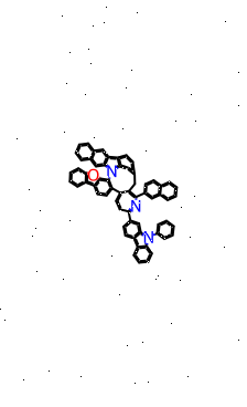 C1=CC(c2ccc3c4ccccc4n(-c4ccccc4)c3c2)=NC(c2ccc3ccccc3c2)=C2Cc3ccc4c5cc6ccccc6cc5n(c4c3)-c3c(ccc4c3oc3ccccc34)C=12